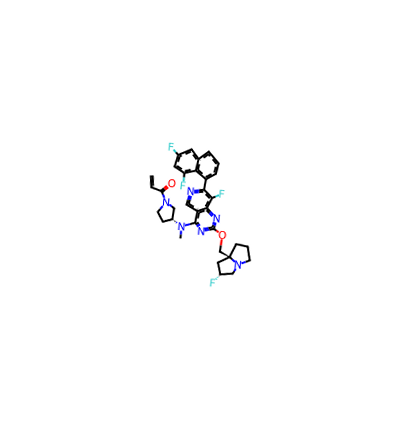 C=CC(=O)N1CC[C@@H](N(C)c2nc(OC[C@@]34CCCN3C[C@H](F)C4)nc3c(F)c(-c4cccc5cc(F)cc(F)c45)ncc23)C1